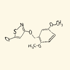 COc1ccc(OC)c(COc2cc(Cl)sn2)c1